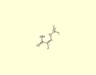 CC(=CO[SiH](C)C)C(=O)O